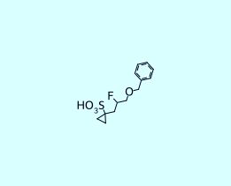 O=S(=O)(O)C1(CC(F)COCc2ccccc2)CC1